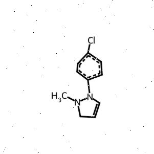 CN1CC=CN1c1ccc(Cl)cc1